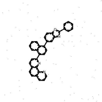 c1ccc(-c2nc3cc(-c4ccc(-c5ccc6ccc7cccnc7c6n5)c5ccccc45)ccc3o2)cc1